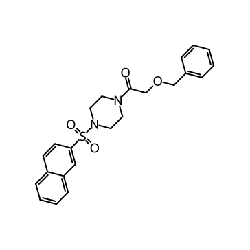 O=C(COCc1ccccc1)N1CCN(S(=O)(=O)c2ccc3ccccc3c2)CC1